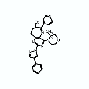 CCC1CCc2nc(-n3cc(-c4ccccc4)cn3)nc(N3CCOC[C@@H]3C)c2N=C1c1ccncc1